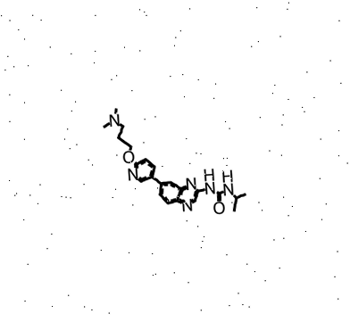 CC(C)NC(=O)Nc1cnc2ccc(-c3ccc(OCCCN(C)C)nc3)cc2n1